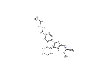 BC/C(B)=C\c1cc(-c2ccc(OCCCC)cc2)n(C2CCCCC2)n1